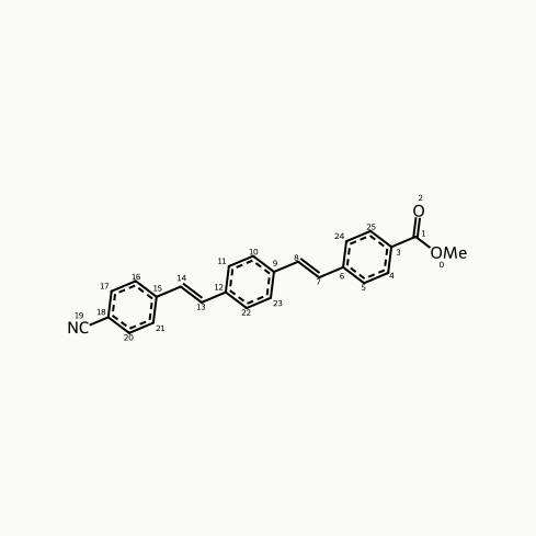 COC(=O)c1ccc(C=Cc2ccc(C=Cc3ccc(C#N)cc3)cc2)cc1